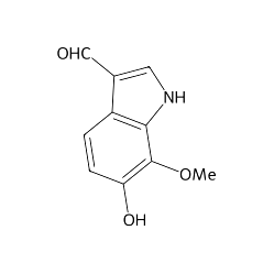 COc1c(O)ccc2c(C=O)c[nH]c12